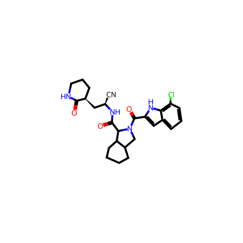 N#C[C@H](C[C@@H]1CCCNC1=O)NC(=O)C1C2CCCCC2CN1C(=O)c1cc2cccc(Cl)c2[nH]1